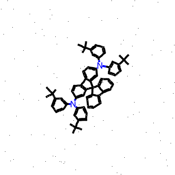 CC(C)(C)c1cccc(N(c2cccc(C(C)(C)C)c2)c2ccc3c(c2)C2(c4ccccc4-c4ccccc42)c2cc(N(c4cccc(C(C)(C)C)c4)c4cccc(C(C)(C)C)c4)ccc2-3)c1